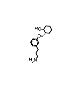 NCCCc1cccc(OC[C@H]2CCCCC2O)c1